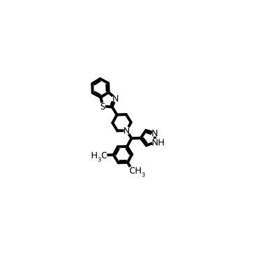 Cc1cc(C)cc(C(c2cn[nH]c2)N2CCC(c3nc4ccccc4s3)CC2)c1